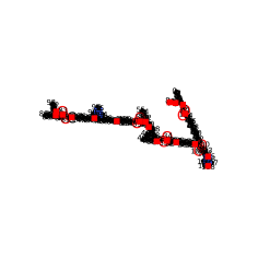 CCCCC(CCCC)CCOC(=O)CCCCCCCCCC(CCCCCCCCCC(=O)OCCC(CCCC)CC(CC)C(C)CCC(CCCC)CC(=O)OCCCCCCCCCCC(CCCCCCCCCCOC(=O)CC(CCCC)CCCC)CN(CC)CC)OC(=O)CCCN1CCCC1